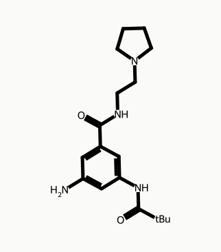 CC(C)(C)C(=O)Nc1cc(N)cc(C(=O)NCCN2CCCC2)c1